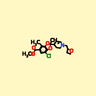 COC(=O)c1cc(Cl)c2c(c1C)OC(C)(C1CCN(CC3CCO3)CC1)O2